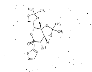 CC1(C)O[C@H]2[C@@H]([C@H]3COC(C)(C)O3)O[P@@](=O)(c3cccs3)[C@@H](O)[C@H]2O1